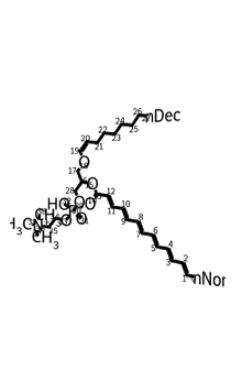 CCCCCCCCCC=CC=CC=CC=CC=CC=CC(=O)OC(CO/C=C\CCCCCCCCCCCCCCCC)COP(=O)(O)OCC[N+](C)(C)C